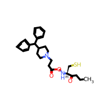 CCCC(=O)[C@H](CS)NOC(=O)CCN1CCC(C(c2ccccc2)c2ccccc2)CC1